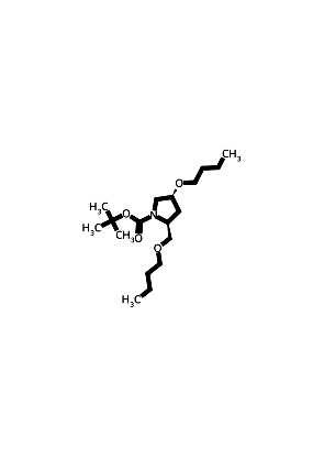 CCCCOC[C@@H]1C[C@@H](OCCCC)CN1C(=O)OC(C)(C)C